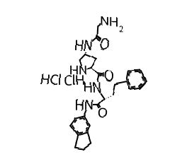 Cl.Cl.NCC(=O)N[C@H]1CN[C@H](C(=O)N[C@H](CCc2ccccc2)C(=O)Nc2ccc3c(c2)CCC3)C1